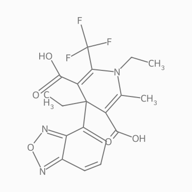 CCN1C(C)=C(C(=O)O)C(CC)(c2cccc3nonc23)C(C(=O)O)=C1C(F)(F)F